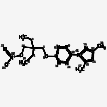 CCC(CC)(COc1nnc(-n2nc(C)cc2C)nn1)CO[N+](=O)[O-]